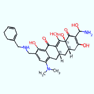 CN(C)c1cc(CNCC2=CC=CCC2)c(O)c2c1C[C@H]1C[C@H]3CC(O)=C(C(N)O)C(=O)[C@@]3(O)C(O)=C1C2=O